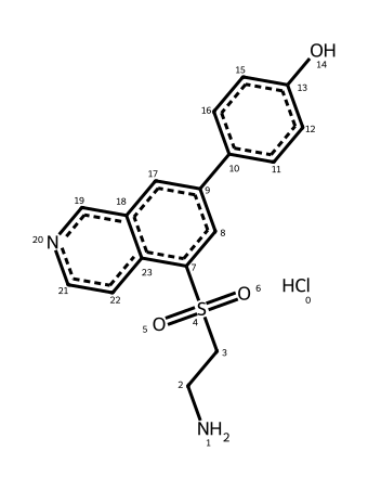 Cl.NCCS(=O)(=O)c1cc(-c2ccc(O)cc2)cc2cnccc12